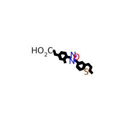 Cc1cc(CCC(=O)O)ccc1-c1noc(-c2ccc3c(c2)CCC(C)S3)n1